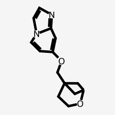 c1cn2ccc(OCC34CCOC(C3)C4)cc2n1